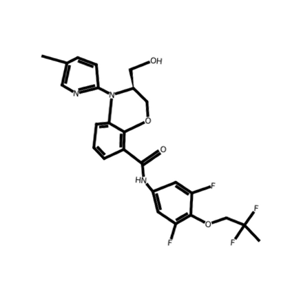 Cc1ccc(N2c3cccc(C(=O)Nc4cc(F)c(OCC(C)(F)F)c(F)c4)c3OC[C@@H]2CO)nc1